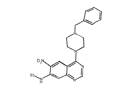 CCNc1cc2ncnc(N3CCN(Cc4ccccc4)CC3)c2cc1[N+](=O)[O-]